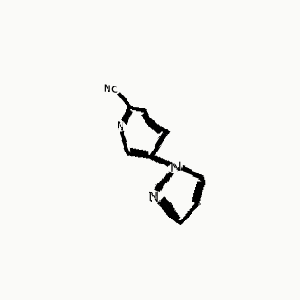 N#Cc1ccc(-n2c[c]cn2)cn1